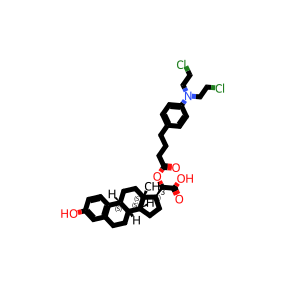 C[C@]12CC[C@@H]3c4ccc(O)cc4CC[C@H]3[C@@H]1CC[C@@H]2C(OC(=O)CCCc1ccc(N(CCCl)CCCl)cc1)C(=O)O